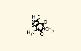 Cc1nsc2c1c(=O)n(C)c(=O)n2C